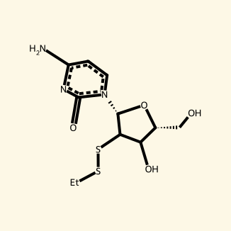 CCSSC1C(O)[C@@H](CO)O[C@H]1n1ccc(N)nc1=O